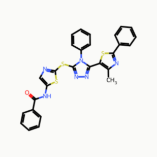 Cc1nc(-c2ccccc2)sc1-c1nnc(Sc2ncc(NC(=O)c3ccccc3)s2)n1-c1ccccc1